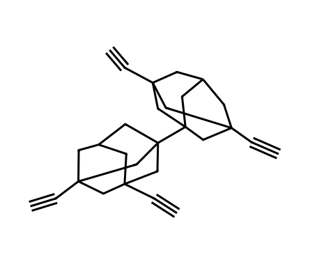 C#CC12CC3CC(C#C)(C1)CC(C14CC5CC(C#C)(CC(C#C)(C5)C1)C4)(C3)C2